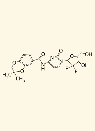 CC1(C)COc2ccc(C(=O)Nc3ccn(C4O[C@H](CO)[C@@H](O)C4(F)F)c(=O)n3)cc2O1